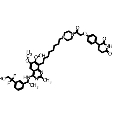 COc1cc2c(N[C@H](C)c3cccc(C(F)(F)CO)c3)nc(C)nc2c(CCCCCCCCN2CCN(C(=O)COc3ccc(C4CCC(=O)NC4=O)cc3)CC2)c1OC